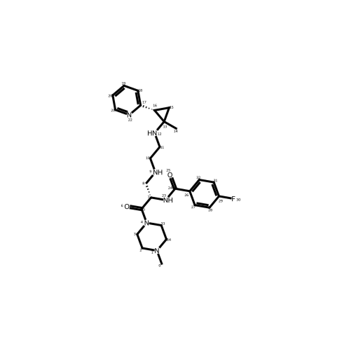 CN1CCN(C(=O)[C@H](CNCCNC2(C)C[C@H]2c2ccccn2)NC(=O)c2ccc(F)cc2)CC1